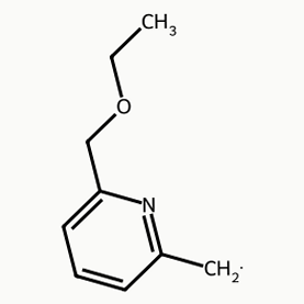 [CH2]c1cccc(COCC)n1